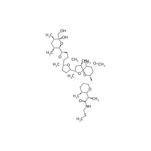 CO[C@@H]1C[C@@H](C[C@H]2CC[C@H](C)C([C@@H](C)C(=O)NCSC)O2)O[C@]2(O[C@@](C)(C3CC[C@@](C)([C@@H]4O[C@@H]([C@@H]5O[C@@](O)(CO)[C@H](C)C[C@@H]5C)C[C@@H]4C)O3)C[C@H]2C)C1C